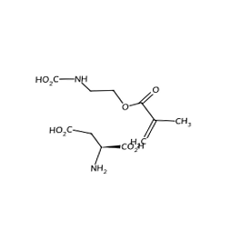 C=C(C)C(=O)OCCNC(=O)O.N[C@@H](CC(=O)O)C(=O)O